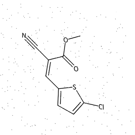 COC(=O)C(C#N)=Cc1ccc(Cl)s1